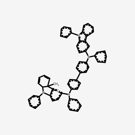 CC12C=CC=CC1N(c1ccccc1)c1ccc(N(c3ccccc3)c3ccc(-c4ccc(N(c5ccccc5)c5ccc6c(c5)c5ccccc5n6-c5ccccc5)cc4)cc3)cc12